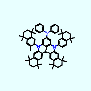 Cc1cc2c(cc1N1c3cc4c(cc3B3c5cc6c(cc5N(c5ccc7c(c5)C(C)(C)CCC7(C)C)c5cc(N(c7ccccc7)c7ccccc7)cc1c53)C(C)(C)CCC6(C)C)C(C)(C)CCC4(C)C)C(C)(C)CCC2(C)C